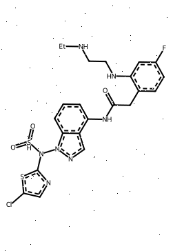 CCNCCNc1cc(F)ccc1CC(=O)Nc1cccc2c1cnn2N(c1ncc(Cl)s1)[SH](=O)=O